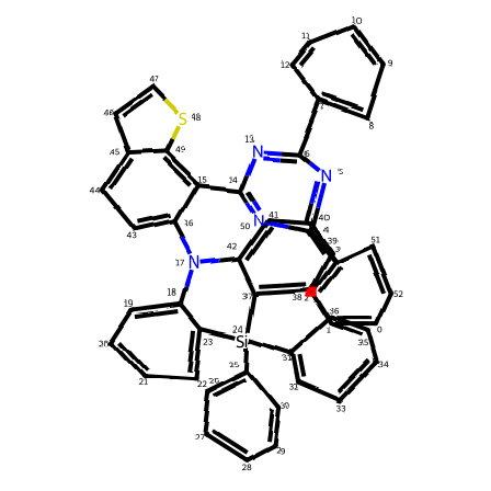 c1ccc(-c2nc(-c3ccccc3)nc(-c3c(N4c5ccccc5[Si](c5ccccc5)(c5ccccc5)c5ccccc54)ccc4ccsc34)n2)cc1